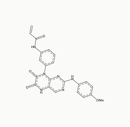 C=CC(=O)Nc1cccc(-n2c(=O)c(=O)[nH]c3cnc(Nc4ccc(OC)cc4)nc32)c1